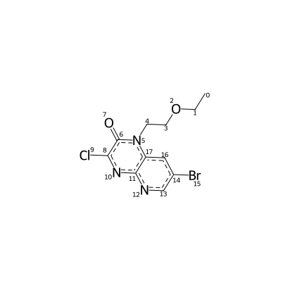 CCOCCn1c(=O)c(Cl)nc2ncc(Br)cc21